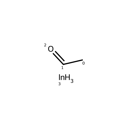 CC=O.[InH3]